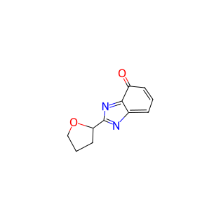 O=C1C=CC=C2N=C(C3CCCO3)N=C12